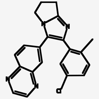 Cc1ccc(Cl)cc1-c1nc2n(c1-c1ccc3nccnc3c1)CCC2